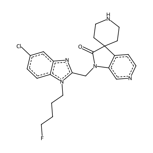 O=C1N(Cc2nc3cc(Cl)ccc3n2CCCCF)c2cnccc2C12CCNCC2